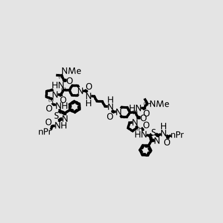 CCCC(=O)Nc1nc(-c2ccccc2)c(NC(=O)[C@@H]2CCCN2C(=O)[C@@H](NC(=O)[C@H](C)NC)C2CCN(C(=O)NCCCCNC(=O)N3CCC([C@H](NC(=O)[C@H](C)NC)C(=O)N4CCC[C@H]4C(=O)Nc4sc(NC(=O)CCC)nc4-c4ccccc4)CC3)CC2)s1